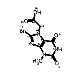 Cn1c(=O)[nH]c(=O)c2c1nc(Br)n2CC(=O)O